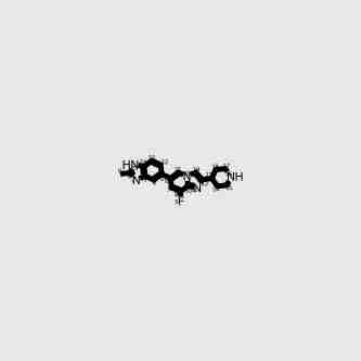 Cc1nc2cc(-c3cc(F)c4nc(C5CCNCC5)cn4c3)ccc2[nH]1